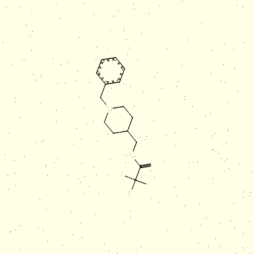 O=C(NCC1CCN(Cc2ccccc2)CC1)C(F)(F)F